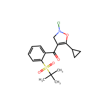 CC(C)(C)S(=O)(=O)c1ccccc1C(=O)C1=C(C2CC2)ON(Cl)C1